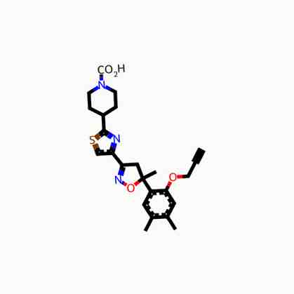 C#CCOc1cc(C)c(C)cc1C1(C)CC(c2csc(C3CCN(C(=O)O)CC3)n2)=NO1